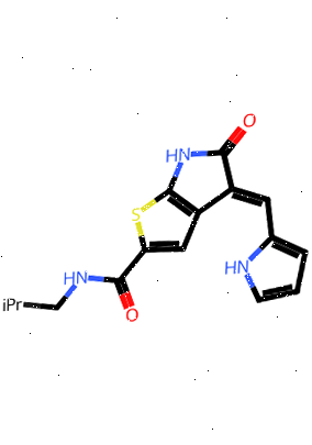 CC(C)CNC(=O)c1cc2c(s1)NC(=O)C2=Cc1ccc[nH]1